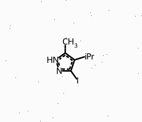 Cc1[nH]nc(I)c1C(C)C